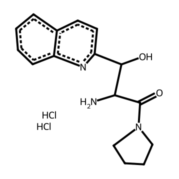 Cl.Cl.NC(C(=O)N1CCCC1)C(O)c1ccc2ccccc2n1